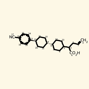 C=CCC(C(=O)O)C1CCC([C@H]2CC[C@H](c3ccc(C#N)cc3)CC2)CC1